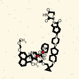 CCc1cccc2cc(OCOC)cc(-c3ncc4c(N5CC6CCC(C5)N6C(=O)OC(C)(C)C)nc(OCC5(CN6CCC7(CCC(N8CCN(c9ccc%10c(c9)CN([C@H]9CCC(=O)NC9=O)C%10=O)CC8)CC7)CC6)CC5)nc4c3F)c12